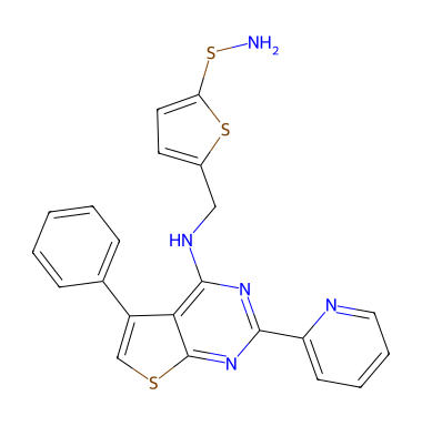 NSc1ccc(CNc2nc(-c3ccccn3)nc3scc(-c4ccccc4)c23)s1